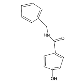 O=C(NCc1ccccc1)c1ccc(O)cc1